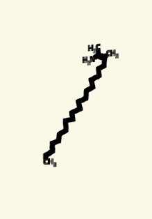 CCCCCCCCCCCCCCCCCCCC(C)=C(C)N